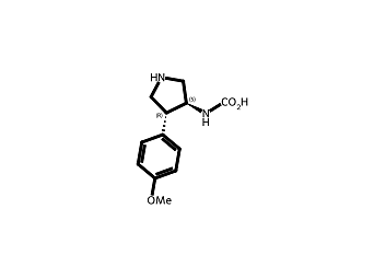 COc1ccc([C@@H]2CNC[C@H]2NC(=O)O)cc1